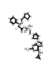 C[C@@H](C(=O)OP(=O)(O)OC[C@@H]1C=C[C@H](n2cnc3c(NC4CC4)nc(N)nc32)C1)N(OCC1CCCC1)c1ccccc1